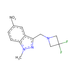 Cn1nc(CN2CC(F)(F)C2)c2cc([N+](=O)[O-])ccc21